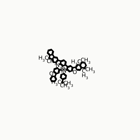 CC(C)(C)c1ccc(Nc2cc3oc4cc5c(cc4c3cc2-c2ccc3c4cc6c(cc4n4c3c2Bc2cc3c(cc2-4)oc2ccccc23)C(C)(C)c2ccccc2-6)C(C)(C)CCC5(C)C)cc1